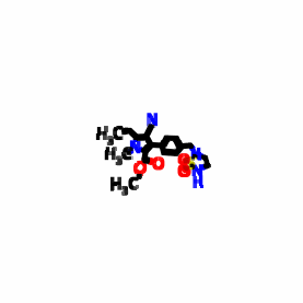 CCOC(=O)c1c(-c2ccc(CN3CCNS3(=O)=O)cc2)c(C#N)c(CC)n1C